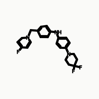 FC1=CCN(Cc2ccc(Nc3ccc(N4CCC(F)(F)CC4)cc3)cc2)C=C1